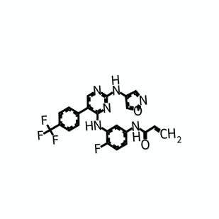 C=CC(=O)Nc1ccc(F)c(Nc2nc(Nc3cnoc3)ncc2-c2ccc(C(F)(F)F)cc2)c1